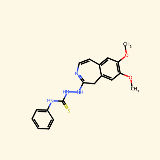 COc1cc2c(cc1OC)CC(NNC(=S)Nc1ccccc1)=NC=C2